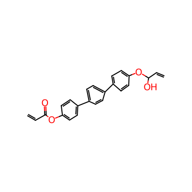 C=CC(=O)Oc1ccc(-c2ccc(-c3ccc(OC(O)C=C)cc3)cc2)cc1